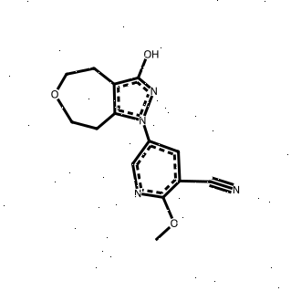 COc1ncc(-n2nc(O)c3c2CCOCC3)cc1C#N